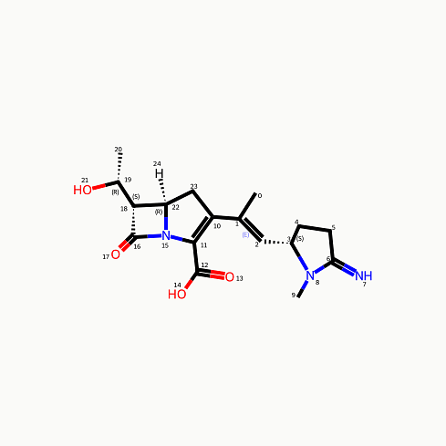 C/C(=C\[C@@H]1CCC(=N)N1C)C1=C(C(=O)O)N2C(=O)[C@H]([C@@H](C)O)[C@H]2C1